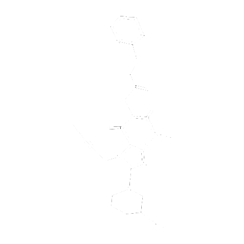 CC#CCn1c(N2CCCC(N)C2)nc2c1c(=O)n(CC(=O)COc1ccccn1)c(=O)n2C